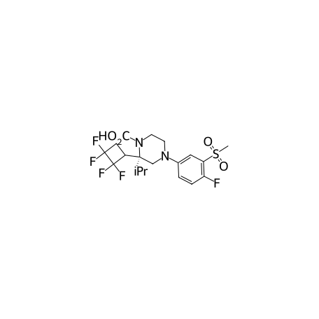 CC(C)[C@@]1(C2CC(F)(F)C2(F)F)CN(c2ccc(F)c(S(C)(=O)=O)c2)CCN1C(=O)O